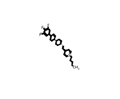 CCCCC[SiH]1CCC(CC[C@H]2CC[C@H](c3ccc(-c4cc(F)c(F)c(F)c4)cc3)CC2)CC1